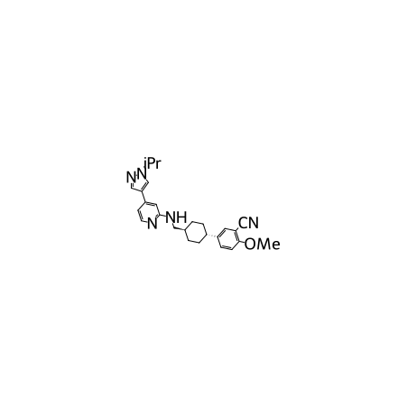 COc1ccc([C@H]2CC[C@H](CNc3cc(-c4cnn(C(C)C)c4)ccn3)CC2)cc1C#N